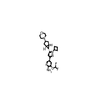 Nc1ncc(-c2cc([C@@H]3[C@@H]4C[C@@H](N5CCOCC5)C[C@@H]43)n(C3CCC3)n2)cc1OC(F)F